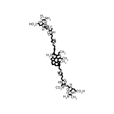 C=CC1=C(/C=C(\C)C#CCCn2cc(CCC(=O)NC(CC(=O)O)C(=O)NCC(=O)NC(CCC(=O)O)C(=O)NC(C)C(N)=O)nn2)/C(=C2\c3c(ccc4ccccc34)CC2C)C(C2C(C)C2C#CCCn2cc(CCC(=O)NC(CC(=O)O)C(=O)NCC(=O)NC(CCC(=O)O)C(=O)NC(C)C(N)=O)nn2)=C(C=C)S1